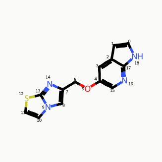 c1cc2cc(OCc3cn4ccsc4n3)cnc2[nH]1